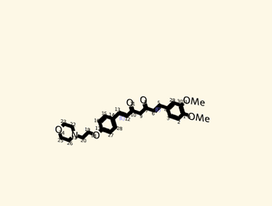 COc1ccc(/C=C/C(=O)CC(=O)/C=C/c2ccc(OCCN3CCOCC3)cc2)cc1OC